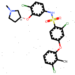 CN1CC[C@@H](Oc2cc(NS(=O)(=O)c3ccc(Oc4cccc(Cl)c4C#N)cc3Cl)ccc2Cl)C1